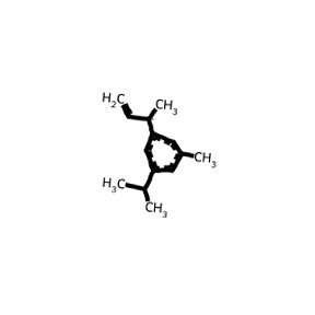 C=C[C](C)c1cc(C)cc(C(C)C)c1